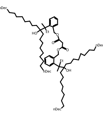 CCCCCCCCCCCCCCCCCCC(O)(CCCCCCCCCCCCCCCCCC)C(C)(CC)c1ccccc1COC(=O)CC(=O)OCc1ccccc1C(C)(CC)C(O)(CCCCCCCCCCCCCCCCCC)CCCCCCCCCCCCCCCCCC